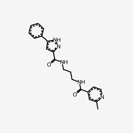 Cc1cc(C(=O)NCCCNC(=O)c2cc(-c3ccccc3)[nH]n2)ccn1